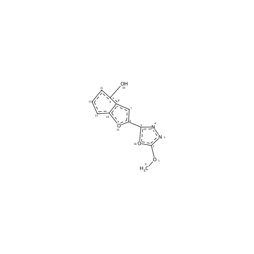 COc1nnc(-c2cc3c(O)cccc3o2)o1